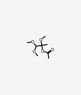 COC(OC)C(C)(OC)OC(C)=O